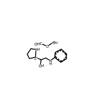 CC(C)(C)OC=O.OC(CNc1ccccc1)[C@H]1CCCN1